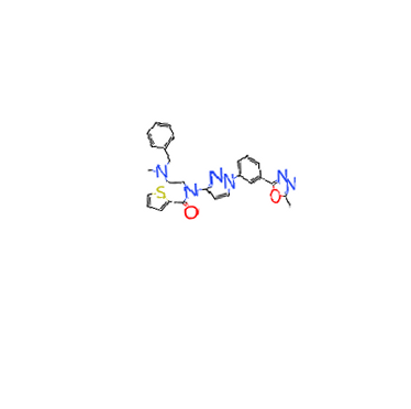 Cc1nnc(-c2cccc(-n3ccc(N(CCN(C)Cc4ccccc4)C(=O)c4cccs4)n3)c2)o1